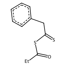 CCC(=O)SC(=S)Cc1ccccc1